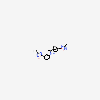 CCc1noc(-c2cccc(NC(C)C34CCC(c5nc(C)no5)=C(C3)C4)c2)n1